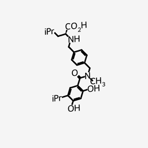 CC(C)C[C@H](NCc1ccc(CN(C)C(=O)c2cc(C(C)C)c(O)cc2O)cc1)C(=O)O